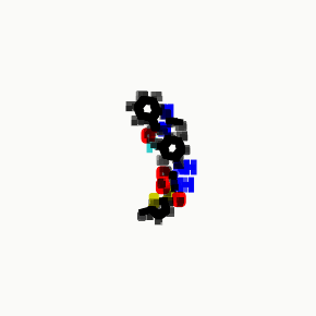 Cc1ccc(S(=O)(=O)NC(=O)Nc2ccc(-n3c(C)nc4ccccc4c3=O)c(F)c2)s1